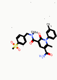 CON(Cc1ccc(S(C)(=O)=O)cc1)C(=O)c1cc(C(N)=O)c(C)n(-c2cccc(C(F)(F)F)c2)c1=O